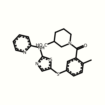 Cc1ccc(Sc2cnc(Nc3ccccn3)s2)cc1C(=O)N1CCCC(C(=O)O)C1